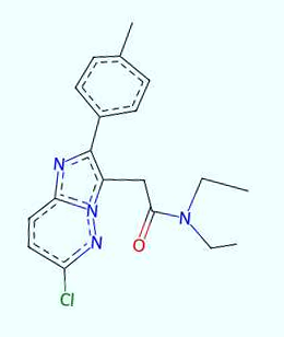 CCN(CC)C(=O)Cc1c(-c2ccc(C)cc2)nc2ccc(Cl)nn12